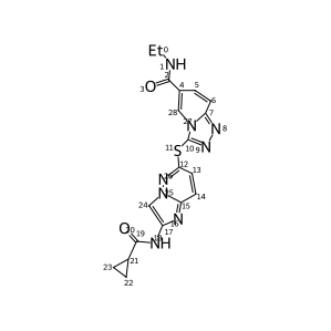 CCNC(=O)c1ccc2nnc(Sc3ccc4nc(NC(=O)C5CC5)cn4n3)n2c1